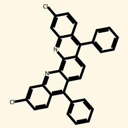 Clc1ccc2c(-c3ccccc3)c3ccc4c(-c5ccccc5)c5ccc(Cl)cc5nc4c3nc2c1